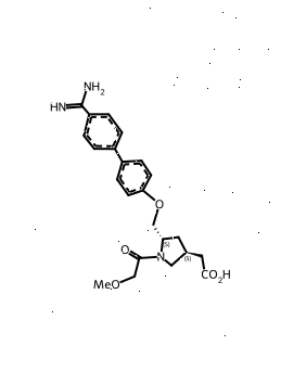 COCC(=O)N1C[C@H](CC(=O)O)C[C@H]1COc1ccc(-c2ccc(C(=N)N)cc2)cc1